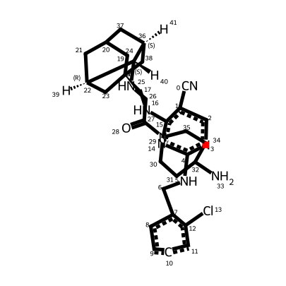 N#Cc1cnc(NCc2ccccc2Cl)nc1NC[C@]12CC3C[C@H](C1)[C@@H](NCC(=O)N1CCC(N)CC1)[C@@H](C3)C2